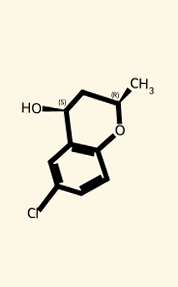 C[C@@H]1C[C@H](O)c2cc(Cl)ccc2O1